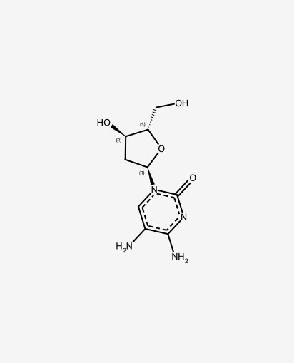 Nc1cn([C@H]2C[C@@H](O)[C@H](CO)O2)c(=O)nc1N